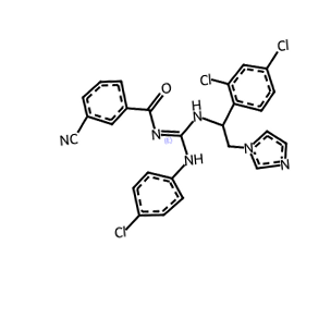 N#Cc1cccc(C(=O)/N=C(/Nc2ccc(Cl)cc2)NC(Cn2ccnc2)c2ccc(Cl)cc2Cl)c1